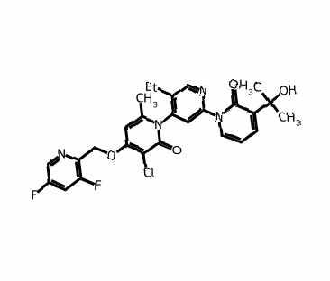 CCc1cnc(-n2cccc(C(C)(C)O)c2=O)cc1-n1c(C)cc(OCc2ncc(F)cc2F)c(Cl)c1=O